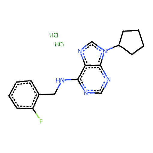 Cl.Cl.Fc1ccccc1CNc1ncnc2c1ncn2C1CCCC1